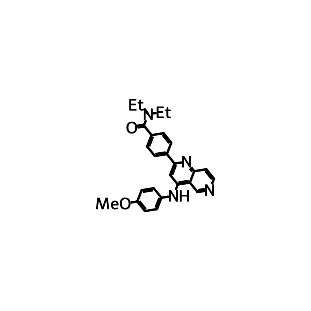 CCN(CC)C(=O)c1ccc(-c2cc(Nc3ccc(OC)cc3)c3cnccc3n2)cc1